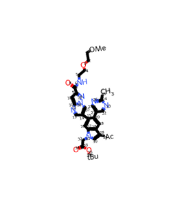 COCCOCCNC(=O)c1cc2ncc(-c3cc4c(cc3-c3cnc(C)nc3)c(C(C)=O)cn4CC(=O)OC(C)(C)C)cn2n1